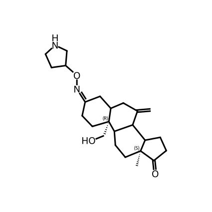 C=C1CC2CC(=NOC3CCNC3)CC[C@]2(CO)C2CC[C@]3(C)C(=O)CCC3C12